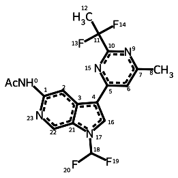 CC(=O)Nc1cc2c(-c3cc(C)nc(C(C)(F)F)n3)cn(C(F)F)c2cn1